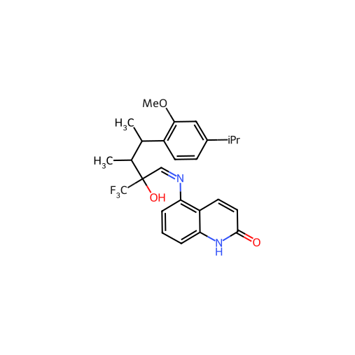 COc1cc(C(C)C)ccc1C(C)C(C)C(O)(C=Nc1cccc2[nH]c(=O)ccc12)C(F)(F)F